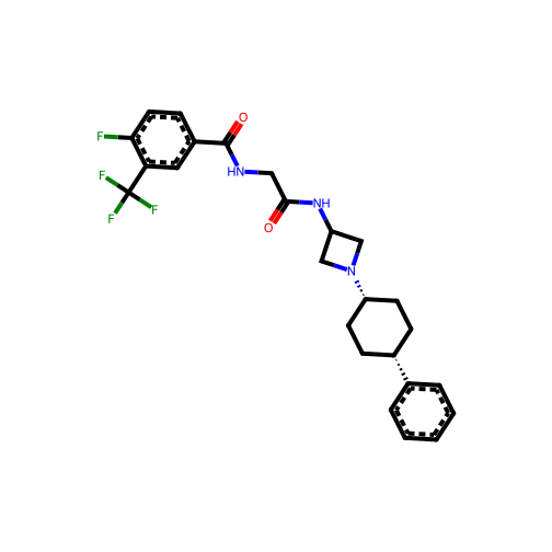 O=C(CNC(=O)c1ccc(F)c(C(F)(F)F)c1)NC1CN([C@H]2CC[C@@H](c3ccccc3)CC2)C1